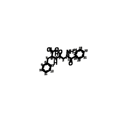 NN(CC(=O)N[C@@H](Cc1ccccc1)C(=O)O)C(=O)c1ccccc1